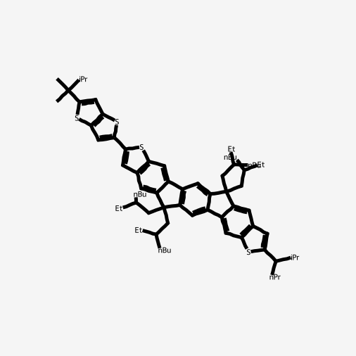 CCCCC(CC)CC1(CC(CC)CCCC)c2cc3c(cc2-c2cc4sc(-c5cc6sc(C(C)(C)C(C)C)cc6s5)cc4cc21)C(CC(CC)CCCC)(CC(CC)CCCC)c1cc2cc(C(CCC)C(C)C)sc2cc1-3